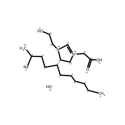 CCCCCCCCC[CH](C)[Na].O=C(O)C[N+]1=CN(CCO)CC1.[OH-]